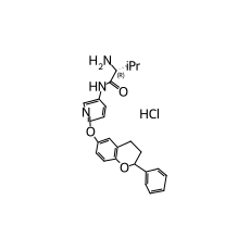 CC(C)[C@@H](N)C(=O)Nc1ccc(Oc2ccc3c(c2)CCC(c2ccccc2)O3)nc1.Cl